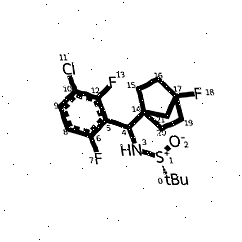 CC(C)(C)[S@@+]([O-])NC(c1c(F)ccc(Cl)c1F)C12CCC(F)(CC1)C2